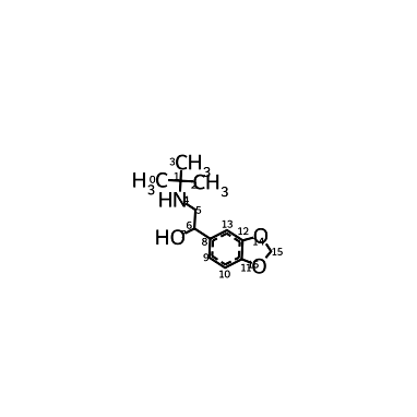 CC(C)(C)NCC(O)c1ccc2c(c1)OCO2